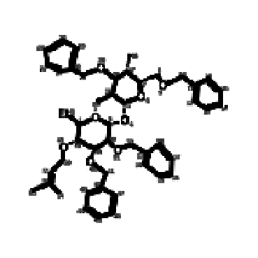 CCC1O[C@H](O[C@H]2O[C@H](COCc3ccccc3)[C@@H](C)C(OCc3ccccc3)C2C)C(OCc2ccccc2)[C@@H](OCc2ccccc2)[C@@H]1OCC=C(C)C